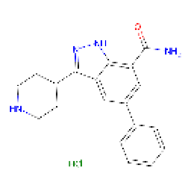 Cl.NC(=O)c1cc(-c2ccccc2)cc2c(C3CCNCC3)n[nH]c12